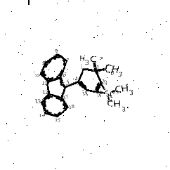 CC1(C)CC(C2c3ccccc3-c3ccccc32)=[C]C2=C1[Si]2(C)C